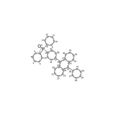 O=P(c1ccccc1)(c1ccccc1)c1ccc(-c2c3ccccc3c(-c3ccccc3)c3ccccc23)cc1